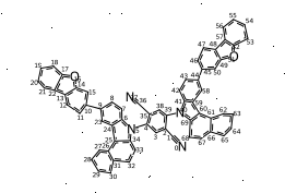 N#Cc1cc(-n2c3ccc(-c4ccc5c(c4)oc4ccccc45)cc3c3c4ccccc4ccc32)c(C#N)cc1-n1c2ccc(-c3ccc4c(c3)oc3ccccc34)cc2c2c3ccccc3ccc21